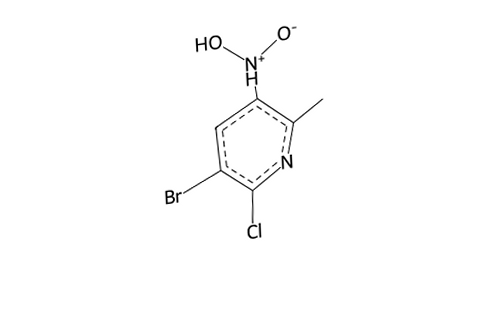 Cc1nc(Cl)c(Br)cc1[NH+]([O-])O